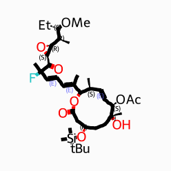 CC[C@H](OC)[C@@H](C)[C@H]1O[C@@H]1C(=O)C(C)(F)/C=C/C=C(\C)C1OC(=O)C[C@H](O[Si](C)(C)C(C)(C)C)CC[C@@](C)(O)[C@@H](OC(C)=O)/C=C/[C@@H]1C